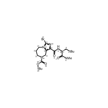 CNC(=O)[C@H](CC(C)(C)C)NC(=O)c1nc(Br)n2c1CN(C(=O)OC(C)(C)C)CCC2